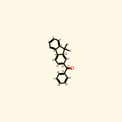 CC1(C)c2ccccc2-c2ccc(C(=O)c3ccccc3)cc21